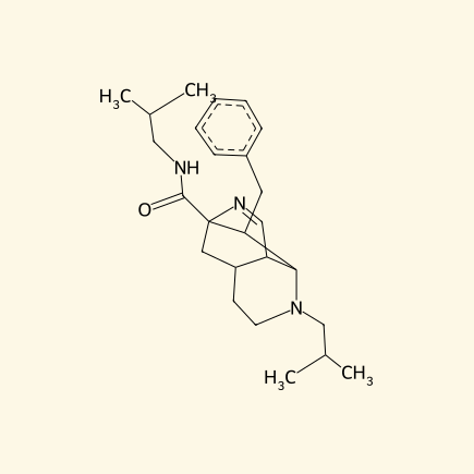 CC(C)CNC(=O)C12CC3CCN(CC(C)C)C(C3C=N1)C2Cc1ccccc1